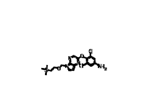 C[Si](C)(C)CCOCn1ccc2nc(Oc3c(Cl)cc(N)cc3Cl)cnc21